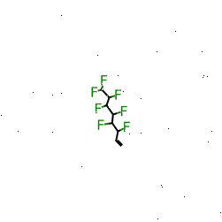 C=CC(F)C(F)C(F)C(F)C(F)C(F)F